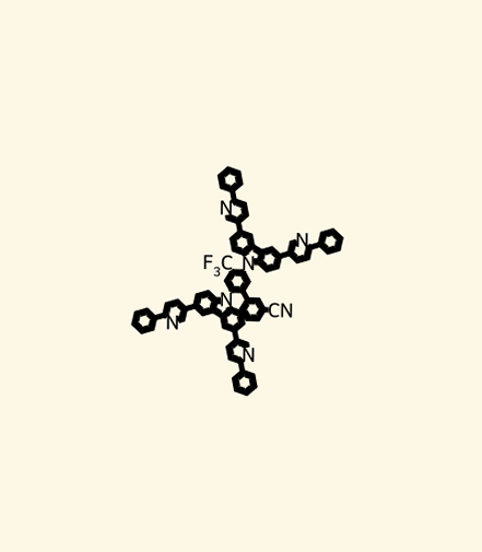 N#Cc1cccc(-c2cc(-n3c4ccc(-c5ccc(-c6ccccc6)nc5)cc4c4cc(-c5ccc(-c6ccccc6)nc5)ccc43)c(C(F)(F)F)cc2-n2c3ccc(-c4ccc(-c5ccccc5)nc4)cc3c3cc(-c4ccc(-c5ccccc5)nc4)ccc32)c1